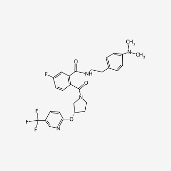 CN(C)c1ccc(CCNC(=O)c2cc(F)ccc2C(=O)N2CC[C@H](Oc3ccc(C(F)(F)F)cn3)C2)cc1